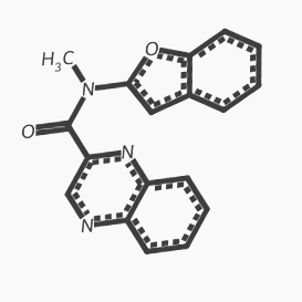 CN(C(=O)c1cnc2ccccc2n1)c1cc2ccccc2o1